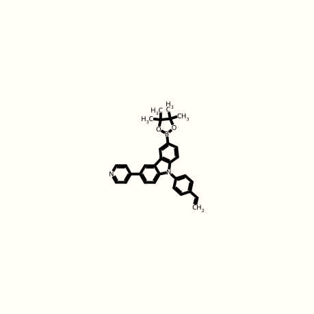 C=Cc1ccc(-n2c3ccc(B4OC(C)(C)C(C)(C)O4)cc3c3cc(-c4ccncc4)ccc32)cc1